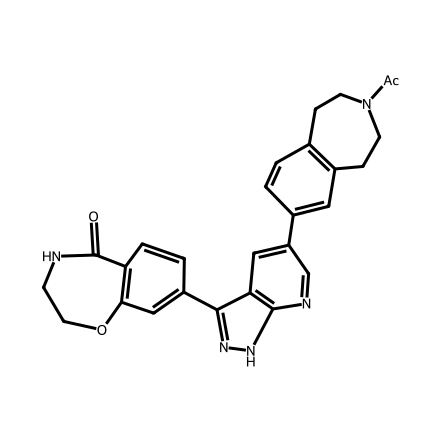 CC(=O)N1CCc2ccc(-c3cnc4[nH]nc(-c5ccc6c(c5)OCCNC6=O)c4c3)cc2CC1